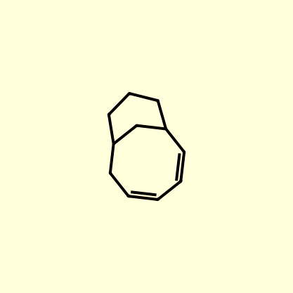 C1=C\CC2CCCC(\C=C/1)C2